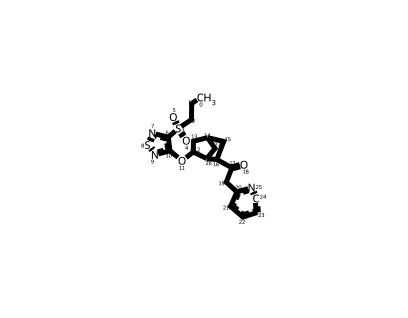 CCCS(=O)(=O)c1nsnc1OC1CC2CC(C(=O)Cc3ccccn3)C1C2